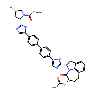 COC(=O)N[C@H]1CCc2cccc3c2N(C1=O)[C@H](c1ncc(-c2ccc(-c4ccc(-c5cnc([C@@H]6C[C@H](C#N)CN6C(=O)OC(C)(C)C)[nH]5)cc4)cc2)[nH]1)C3